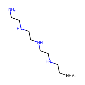 CC(=O)NCCNCCNCCNCCN